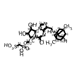 C=N/C(Cl)=N\c1c(CN[C@@]23C[C@@H]4C[C@@](C)(C[C@@](C)(C4)C2)C3)ncn1[C@@H]1O[C@H](COP(=O)(O)CS(=O)(=O)O)C(O)C1O